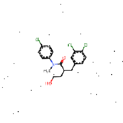 CN(C(=O)C(CCO)Cc1ccc(Cl)c(Cl)c1)c1ccc(Cl)cc1